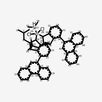 CC(C)CC1=Cc2c(-c3cc4ccccc4c4ccccc34)cccc2[CH]1[Zr]([Cl])([Cl])([CH]1C(CC(C)C)=Cc2c(-c3cc4ccccc4c4ccccc34)cccc21)[SiH](C)C